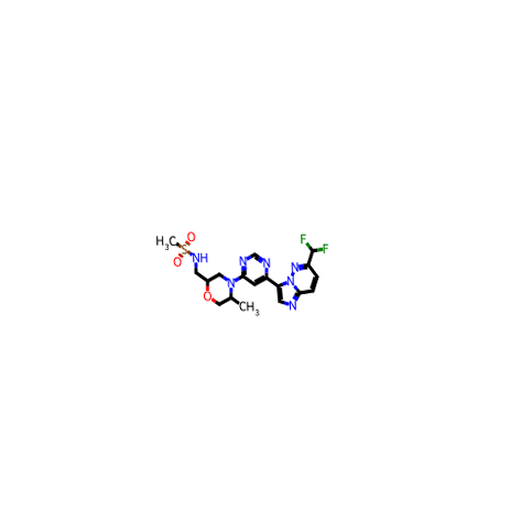 CC1COC(CNS(C)(=O)=O)CN1c1cc(-c2cnc3ccc(C(F)F)nn23)ncn1